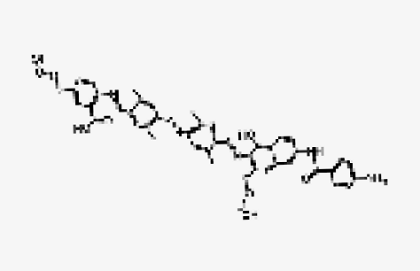 Cc1cc(N=Nc2ccc(SOOO)cc2C(=O)O)c(C)cc1N=Nc1cc(C)c(N=Nc2c(SOOO)cc3cc(NC(=O)c4ccc(N)cc4)ccc3c2O)cc1C